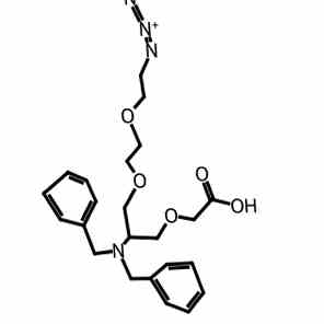 [N-]=[N+]=NCCOCCOCC(COCC(=O)O)N(Cc1ccccc1)Cc1ccccc1